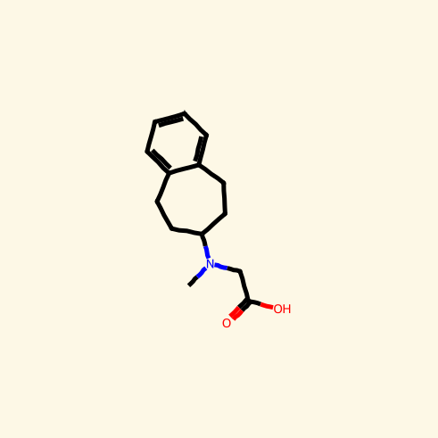 CN(CC(=O)O)C1CCc2c[c]ccc2CC1